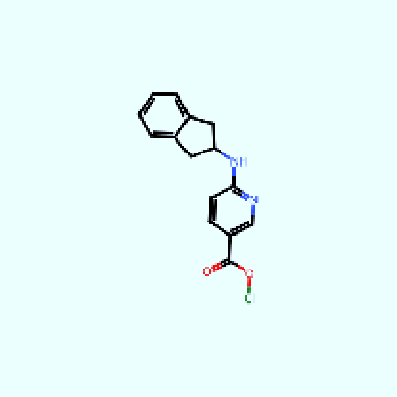 O=C(OCl)c1ccc(NC2Cc3ccccc3C2)nc1